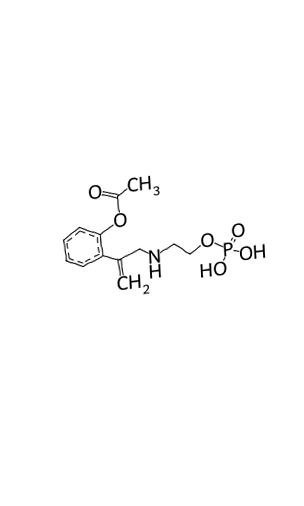 C=C(CNCCOP(=O)(O)O)c1ccccc1OC(C)=O